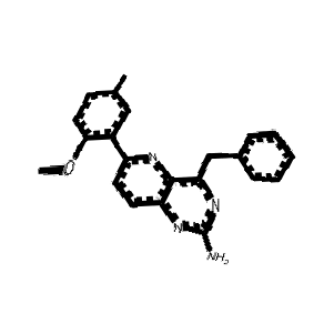 COc1ccc(C)cc1-c1ccc2nc(N)nc(Cc3ccccc3)c2n1